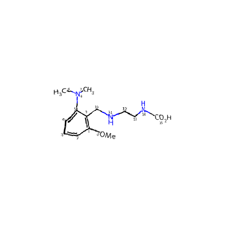 COc1cccc(N(C)C)c1CNCCNC(=O)O